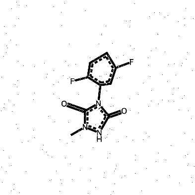 Cn1[nH]c(=O)n(-c2cc(F)ccc2F)c1=O